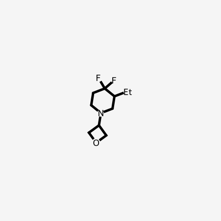 CCC1CN(C2COC2)CCC1(F)F